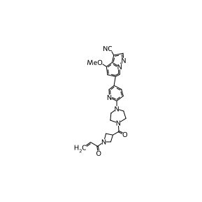 C=CC(=O)N1CC(C(=O)N2CCN(c3ccc(-c4cc(OC)c5c(C#N)cnn5c4)cn3)CC2)C1